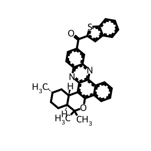 C[C@H]1CC[C@H]2[C@H](C1)c1c(c3ccccc3c3nc4cc(C(=O)c5cc6ccccc6s5)ccc4nc13)OC2(C)C